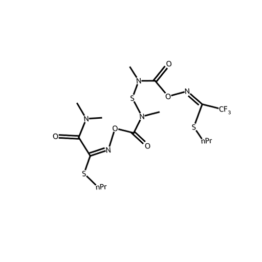 CCCSC(=NOC(=O)N(C)SN(C)C(=O)ON=C(SCCC)C(F)(F)F)C(=O)N(C)C